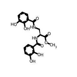 COC(=O)[C@H](CNC(=O)c1cccc(O)c1O)NC(=O)c1cccc(O)c1O